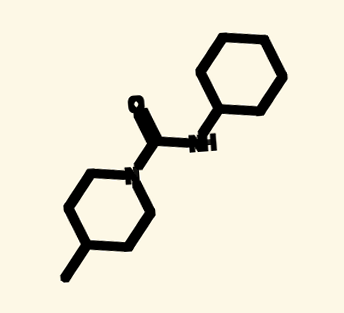 CC1CCN(C(=O)NC2CCCCC2)CC1